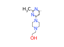 Cc1n[c]cc(N2CCN(CCO)CC2)n1